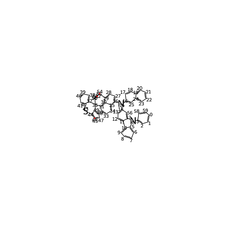 c1ccc(-n2c3ccccc3c3ccc(N(c4ccc5ccccc5c4)c4ccc5c6c(cccc46)C4(c6ccccc6Sc6ccccc64)c4ccccc4-5)cc32)cc1